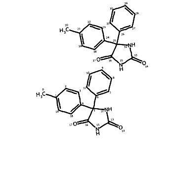 Cc1ccc(C2(c3ccccc3)NC(=O)NC2=O)cc1.Cc1ccc(C2(c3ccccc3)NC(=O)NC2=O)cc1